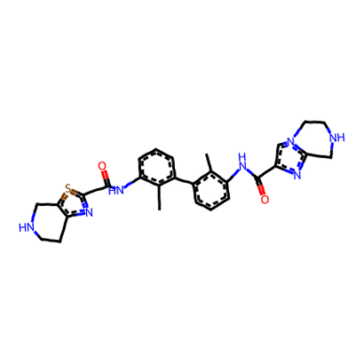 Cc1c(NC(=O)c2cn3c(n2)CNCC3)cccc1-c1cccc(NC(=O)c2nc3c(s2)CNCC3)c1C